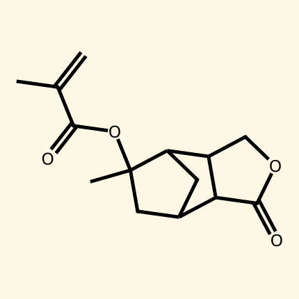 C=C(C)C(=O)OC1(C)CC2CC1C1COC(=O)C21